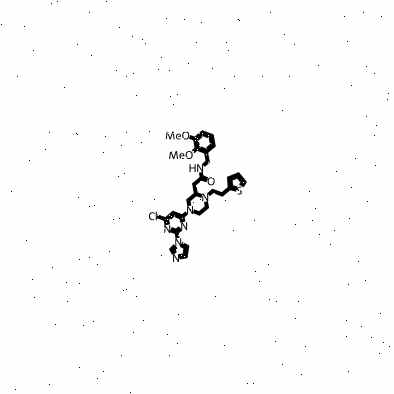 COc1cccc(CNC(=O)CC2CN(c3cc(Cl)nc(-n4ccnc4)n3)CCN2CCc2cccs2)c1OC